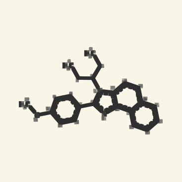 CCC(CC)n1c(-c2ccc(OC)cc2)nc2c3ccccc3ccc21